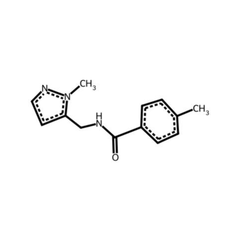 Cc1ccc(C(=O)NCc2ccnn2C)cc1